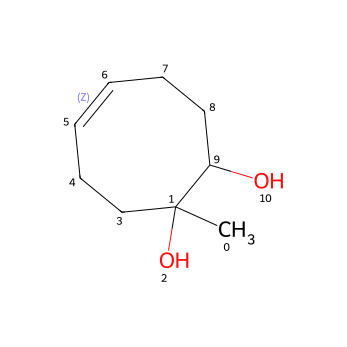 CC1(O)CC/C=C\CCC1O